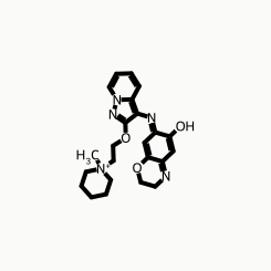 C[N+]1(CCOc2nn3ccccc3c2/N=C2\C=C3OCCN=C3C=C2O)CCCCC1